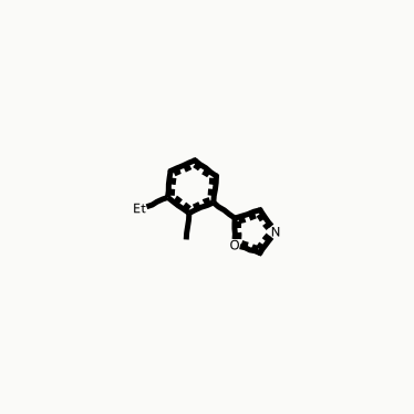 CCc1cccc(-c2cnco2)c1C